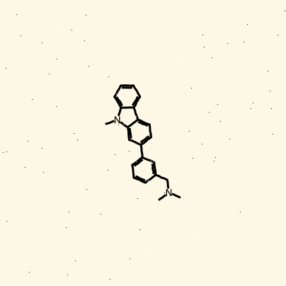 CN(C)Cc1cccc(-c2ccc3c4ccccc4n(C)c3c2)c1